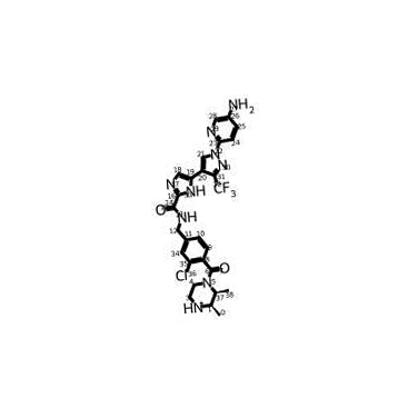 C[C@H]1NCCN(C(=O)c2ccc(CNC(=O)c3ncc(-c4cn(-c5ccc(N)cn5)nc4C(F)(F)F)[nH]3)cc2Cl)[C@H]1C